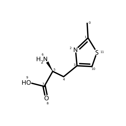 Cc1nc(C[C@H](N)C(=O)O)cs1